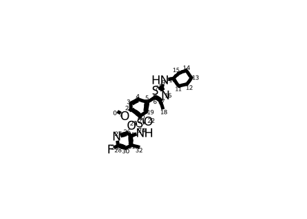 COc1ccc(-c2sc(NC3CCCCC3)nc2C)cc1S(=O)(=O)Nc1cnc(F)cc1C